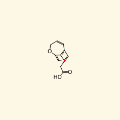 O=C(O)CCc1c2cccc1OCC=C2